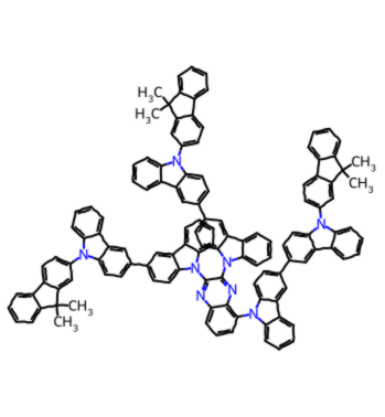 CC1(C)c2ccccc2-c2ccc(-n3c4ccccc4c4cc(-c5ccc6c(c5)c5ccccc5n6-c5nc6cccc(-n7c8ccccc8c8cc(-c9ccc%10c(c9)c9ccccc9n%10-c9ccc%10c(c9)C(C)(C)c9ccccc9-%10)ccc87)c6nc5-n5c6ccccc6c6cc(-c7ccc8c(c7)c7ccccc7n8-c7ccc8c(c7)C(C)(C)c7ccccc7-8)ccc65)ccc43)cc21